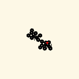 c1ccc(-c2nc3ccccc3nc2-n2c3cccc4c3c3c5c(cc6ccccc6c5c5ccccc5c32)-c2cc(-c3ccc5nc(-n6c7cccc8c7c7c9c(cc%10ccccc%10c9c9ccccc9c76)-c6ccccc6-8)nc(-c6ccccc6)c5c3)ccc2-4)cc1